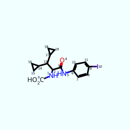 O=C(O)NC(C(=O)Nc1ccc(I)cc1)C(C1CC1)C1CC1